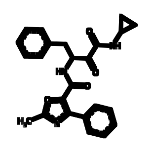 Cc1nc(-c2ccccc2)c(C(=O)NC(Cc2ccccc2)C(=O)C(=O)NC2CC2)o1